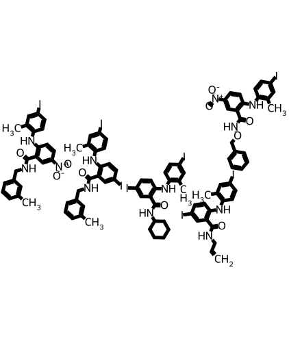 C=CCNC(=O)c1cc(I)ccc1Nc1ccc(I)cc1C.Cc1cc(I)ccc1Nc1ccc(I)cc1C(=O)NC1CCCCC1.Cc1cc(I)ccc1Nc1ccc([N+](=O)[O-])cc1C(=O)NOCc1ccccc1.Cc1cccc(CNC(=O)c2cc(I)ccc2Nc2ccc(I)cc2C)c1.Cc1cccc(CNC(=O)c2cc([N+](=O)[O-])ccc2Nc2ccc(I)cc2C)c1